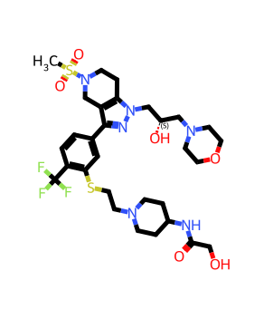 CS(=O)(=O)N1CCc2c(c(-c3ccc(C(F)(F)F)c(SCCN4CCC(NC(=O)CO)CC4)c3)nn2C[C@@H](O)CN2CCOCC2)C1